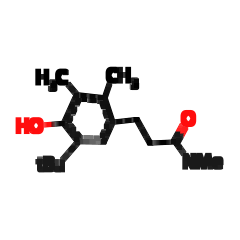 CNC(=O)CCc1cc(C(C)(C)C)c(O)c(C)c1C